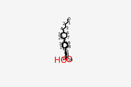 CCCCCC1CCC(c2ccc(C#CC(=O)O)cc2)CC1